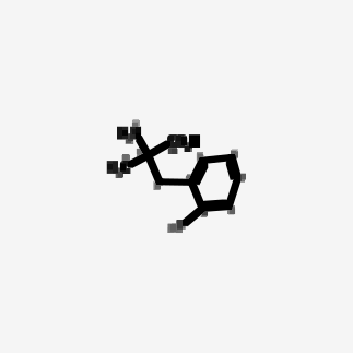 CC(N)(Cc1ccccc1F)C(=O)O